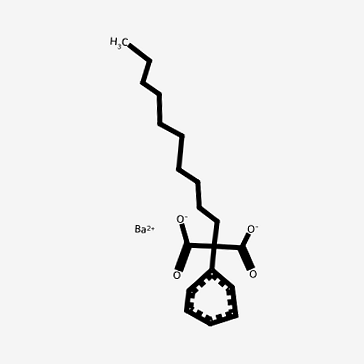 CCCCCCCCCCC(C(=O)[O-])(C(=O)[O-])c1ccccc1.[Ba+2]